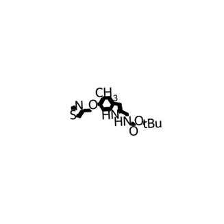 Cc1cc2cc(CNC(=O)OC(C)(C)C)[nH]c2cc1OCc1cscn1